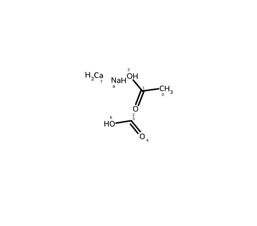 CC(=O)O.O=CO.[CaH2].[NaH]